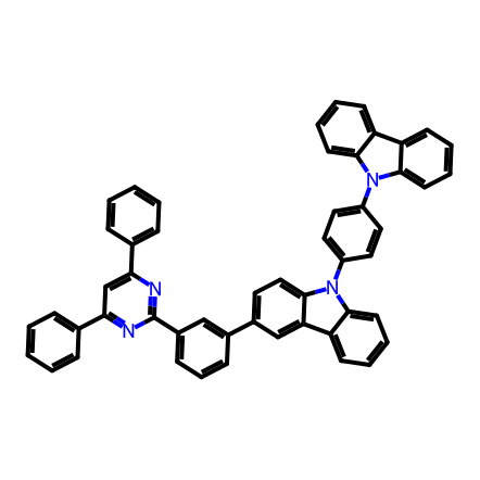 c1ccc(-c2cc(-c3ccccc3)nc(-c3cccc(-c4ccc5c(c4)c4ccccc4n5-c4ccc(-n5c6ccccc6c6ccccc65)cc4)c3)n2)cc1